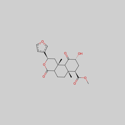 COC(=O)[C@@H]1C[C@@H](O)C(=O)C2[C@@]3(C)C[C@H](c4ccoc4)OC(=O)C3CC[C@]21C